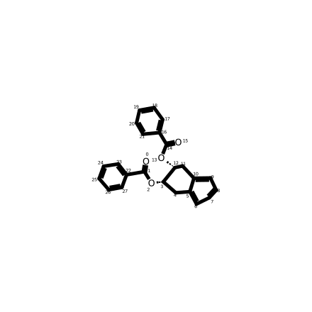 O=C(O[C@H]1Cc2ccccc2C[C@H]1OC(=O)c1ccccc1)c1ccccc1